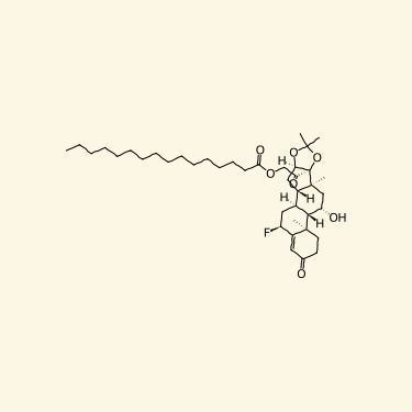 CCCCCCCCCCCCCCCC(=O)OCC(=O)[C@@]12OC(C)(C)O[C@@H]1C[C@H]1[C@@H]3C[C@H](F)C4=CC(=O)CC[C@]4(C)[C@H]3[C@@H](O)C[C@@]12C